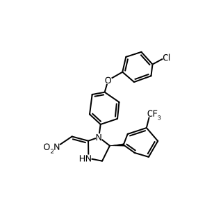 O=[N+]([O-])/C=C1\NC[C@H](c2cccc(C(F)(F)F)c2)N1c1ccc(Oc2ccc(Cl)cc2)cc1